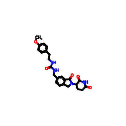 COc1ccc(CCNC(=O)NCc2ccc3c(c2)C(=O)N(C2CCC(=O)NC2=O)C3)cc1